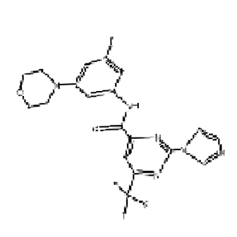 O=C(Nc1cc(F)cc(N2CCOCC2)c1)c1cc(C(F)(F)F)nc(-n2ccnc2)n1